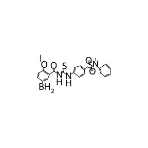 Bc1ccc(OCC)c(C(=O)NC(=S)Nc2ccc(S(=O)(=O)N(C)c3ccccc3)cc2)c1